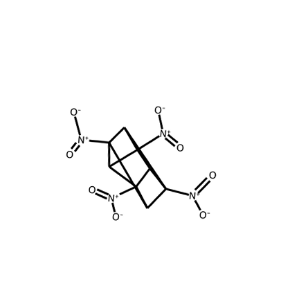 O=[N+]([O-])C12C3C4([N+](=O)[O-])C1C1([N+](=O)[O-])C2C3([N+](=O)[O-])C41